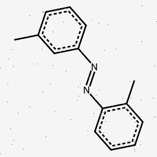 Cc1[c]ccc(N=Nc2ccccc2C)c1